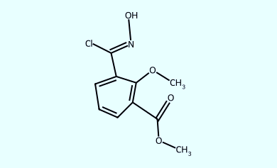 COC(=O)c1cccc(C(Cl)=NO)c1OC